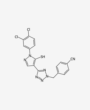 N#Cc1ccc(Cn2nnc(-c3cnn(-c4ccc(Cl)c(Cl)c4)c3S)n2)cc1